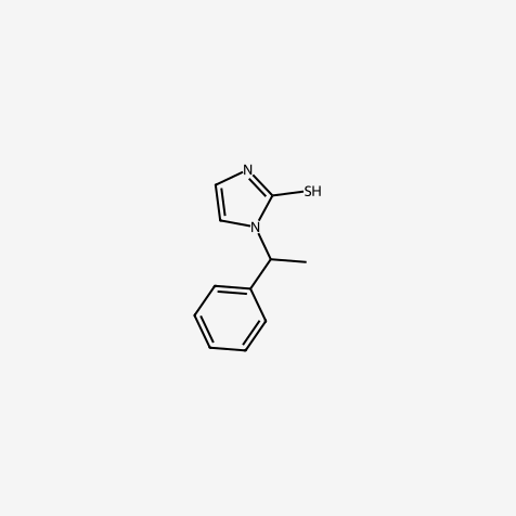 CC(c1ccccc1)n1ccnc1S